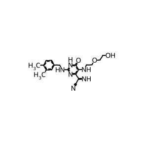 Cc1ccc(CNc2nc(C(=N)C#N)c(NCCOCCO)c(=O)[nH]2)cc1C